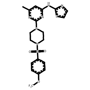 Cc1cc(Nc2nccs2)nc(N2CCN(S(=O)(=O)c3ccc(OC(F)(F)F)cc3)CC2)n1